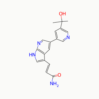 CC(C)(O)c1cncc(-c2cnc3[nH]cc(C=CC(N)=O)c3c2)c1